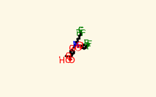 CCOC(Cc1ccc(OCCN(CCCCCCC(F)(F)F)C(=O)Oc2cccc(C(F)(F)F)c2)cc1)C(=O)O